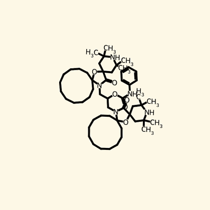 CC1(C)CC2(CC(C)(C)N1)OC1(CCCCCCCCCCC1)N(CC(CN1C(=O)C3(CC(C)(C)NC(C)(C)C3)OC13CCCCCCCCCCC3)OC(=O)Nc1ccccc1)C2=O